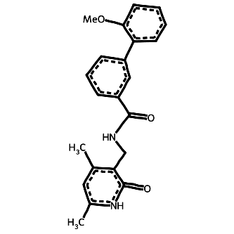 COc1ccccc1-c1cccc(C(=O)NCc2c(C)cc(C)[nH]c2=O)c1